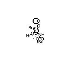 CCC(C)OC(=O)C(CCOC1CCCCO1)(NC(=O)OC(C)(C)C)C(=O)O